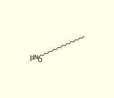 C[CH]CNC(=O)CCCCCCCCCCCCCCCCCCCCC